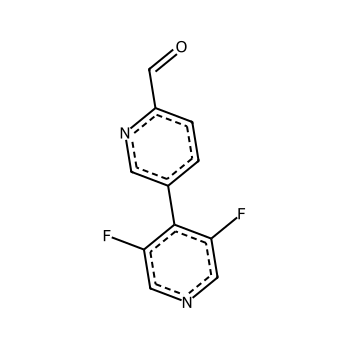 O=Cc1ccc(-c2c(F)cncc2F)cn1